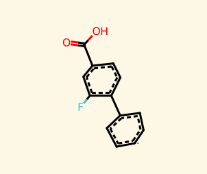 O=C(O)c1ccc(-c2cc[c]cc2)c(F)c1